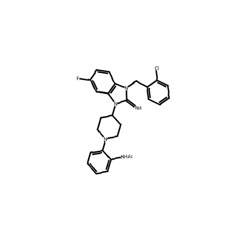 CC(=O)Nc1ccccc1N1CCC(n2c(=N)n(Cc3ccccc3Cl)c3ccc(F)cc32)CC1